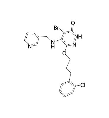 O=c1[nH]nc(OCCCc2ccccc2Cl)c(NCc2cccnc2)c1Br